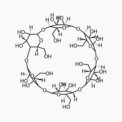 OC[C@H]1OC2OC3[C@@H](CO)OC(O[C@H]4[C@H](O)[C@@H](O)C(O[C@H]5[C@H](O)[C@@H](O)C(O[C@H]6[C@H](O)[C@@H](O)C(O[C@H]7[C@H](O)[C@@H](O)C(OC1C(O)[C@H]2O)O[C@@H]7CO)O[C@@H]6CO)O[C@@H]5CO)O[C@@H]4CO)[C@H](O)[C@H]3O